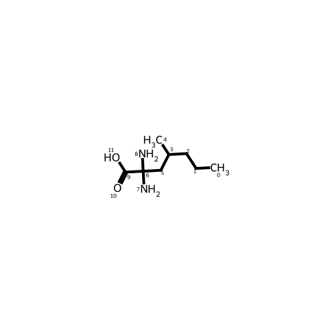 CCCC(C)CC(N)(N)C(=O)O